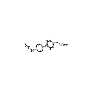 CCCCCCCCCCCc1cnc(-c2ccc(N=C=S)cc2)nc1